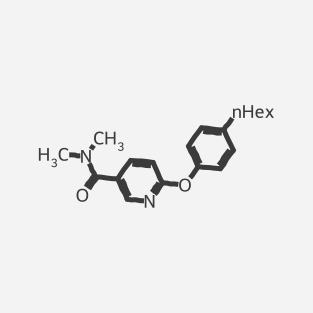 CCCCCCc1ccc(Oc2ccc(C(=O)N(C)C)cn2)cc1